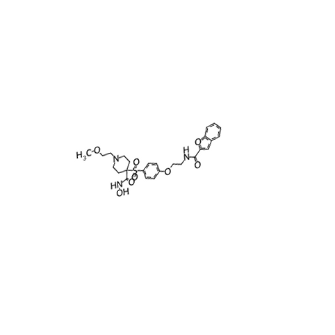 COCCN1CCC(C(=O)NO)(S(=O)(=O)c2ccc(OCCNC(=O)c3cc4ccccc4o3)cc2)CC1